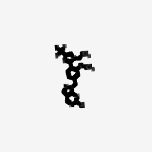 CCn1cc(C(F)(F)F)nc1-c1ccc(Cn2ncc3cnc(Cl)nc32)cc1OC